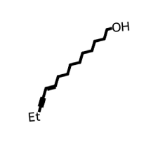 CCC#C/C=C/CCCCCCCCCO